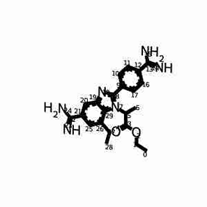 CCOC(=O)C(C)n1c(-c2ccc(C(=N)N)cc2)nc2cc(C(=N)N)cc(CC)c21